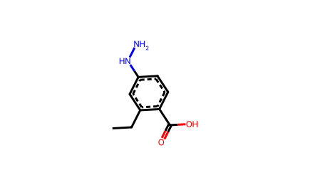 CCc1cc(NN)ccc1C(=O)O